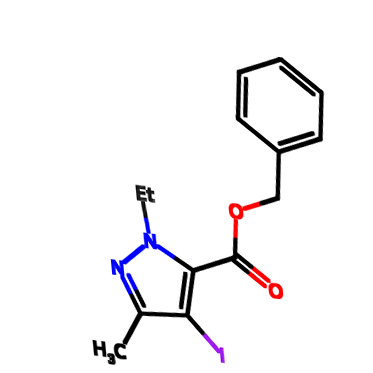 CCn1nc(C)c(I)c1C(=O)OCc1ccccc1